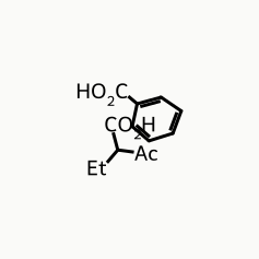 CCC(C(C)=O)C(=O)O.O=C(O)c1ccccc1